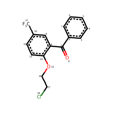 O=C(c1ccccc1)c1cc(C(F)(F)F)ccc1OCCCl